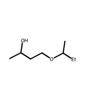 CCC(C)OCCC(C)O